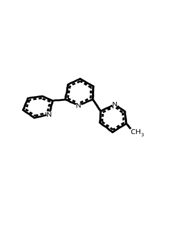 Cc1ccc(-c2cccc(-c3ccccn3)n2)nc1